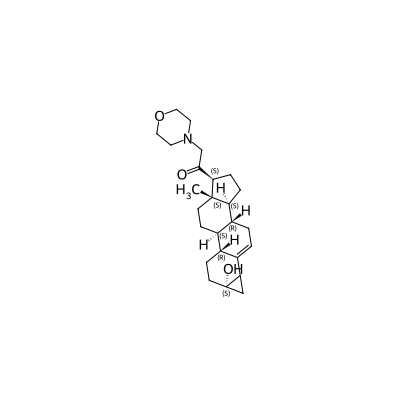 C[C@]12CC[C@H]3[C@@H](CC=C4C5C[C@@]5(O)CC[C@@H]43)[C@@H]1CC[C@@H]2C(=O)CN1CCOCC1